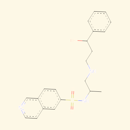 CC(CNCCC(O)c1ccccc1)NS(=O)(=O)c1ccc2cnccc2c1